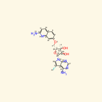 C[C@@]1(O)[C@@H](COc2ccc3ccc(N)nc3c2)O[C@@H](n2cc(F)c3c(N)ncnc32)[C@@H]1O